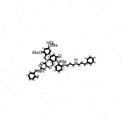 COc1ccc(CN2C(=O)[C@H](CC(=O)NCc3ccccc3F)O[C@@H](c3cccc(OCCCNCCCc4ccccc4)c3OC)c3cc(Cl)ccc32)c(OC)c1.Cl